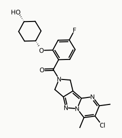 Cc1nc2c3c(nn2c(C)c1Cl)CN(C(=O)c1ccc(F)cc1O[C@H]1CC[C@@H](O)CC1)C3